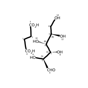 O=C(O)CCC(=O)O.O=C[C@@H](O)[C@@H](O)[C@H](O)[C@H](O)CO